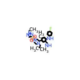 CCn1ncc(S(=O)(=O)N2CCN(CC(C)C)C(c3cc(C=N)c(Nc4ccc(F)cc4)cc3C)C2)n1